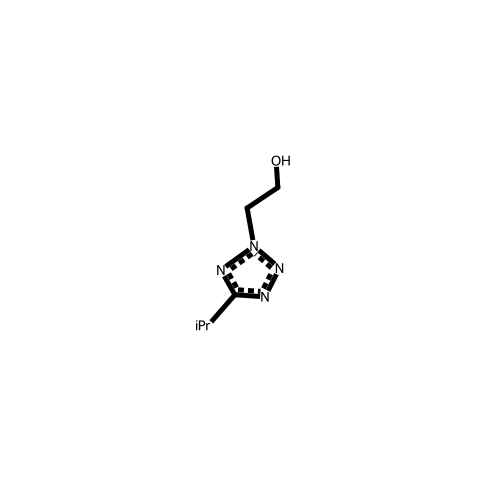 CC(C)c1nnn(CCO)n1